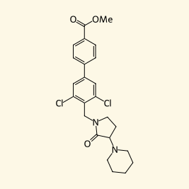 COC(=O)c1ccc(-c2cc(Cl)c(CN3CCC(N4CCCCC4)C3=O)c(Cl)c2)cc1